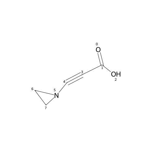 O=C(O)C#CN1CC1